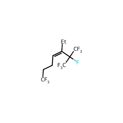 CCC(=CCCC(F)(F)F)C(F)(C(F)(F)F)C(F)(F)F